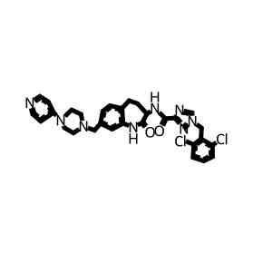 O=C(NC1CCc2ccc(CN3CCN(c4ccncc4)CC3)cc2NC1=O)c1ncn(Cc2c(Cl)cccc2Cl)n1